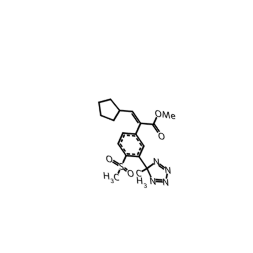 COC(=O)/C(=C/C1CCCC1)c1ccc(S(C)(=O)=O)c(C2(C)N=NN=N2)c1